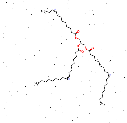 CC/C=C\CCCCCCCC(=O)OCC(COC(=O)CCCCCCC/C=C\CCCCCCCC)OC(=O)CCCCCCC/C=C\CCCCCCCC